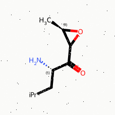 CC(C)C[C@H](N)C(=O)C1O[C@@H]1C